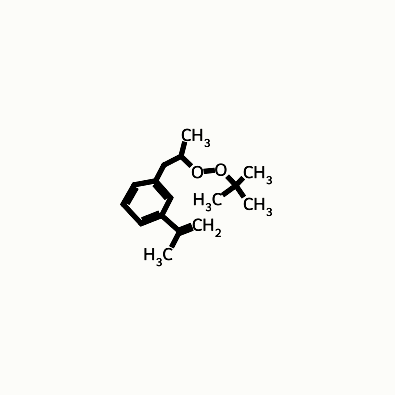 C=C(C)c1cccc(CC(C)OOC(C)(C)C)c1